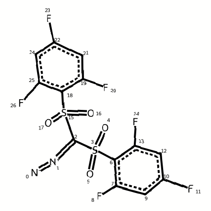 [N-]=[N+]=C(S(=O)(=O)c1c(F)cc(F)cc1F)S(=O)(=O)c1c(F)cc(F)cc1F